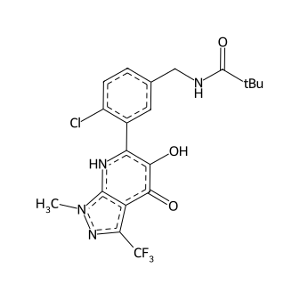 Cn1nc(C(F)(F)F)c2c(=O)c(O)c(-c3cc(CNC(=O)C(C)(C)C)ccc3Cl)[nH]c21